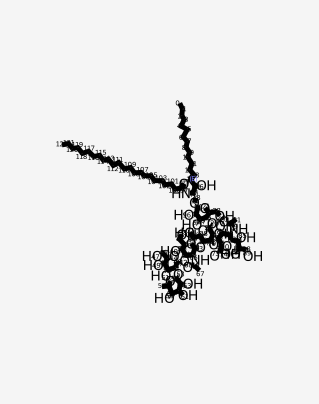 CCCCCCCCCCCCC/C=C/[C@@H](O)[C@H](CO[C@@H]1OC(CO)[C@@H](O[C@@H]2OC(CO)[C@H](O[C@@H]3OC(CO)[C@H](O)[C@H](O[C@@H]4OC(CO)[C@H](O)[C@H](O)C4O[C@H]4OC(C)[C@@H](O)C(O)[C@@H]4O)C3NC(C)=O)[C@H](O[C@]3(C(=O)O)CC(O)[C@@H](NC(C)=O)C([C@H](O)[C@H](O)CO)O3)C2O)[C@H](O)C1O)NC(=O)CCCCCCCCCCCCCCCCCCCCCCC